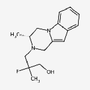 C[C@@H]1Cn2c(cc3ccccc32)CN1CC(C)(F)CO